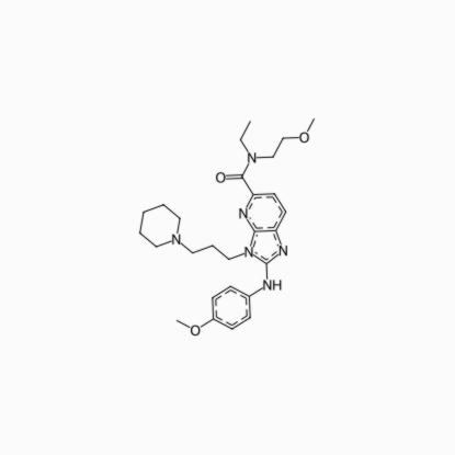 CCN(CCOC)C(=O)c1ccc2nc(Nc3ccc(OC)cc3)n(CCCN3CCCCC3)c2n1